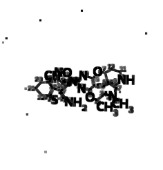 C[C@H](Oc1cc(OC2CCNCC2)nc(-c2cc([C@@]3(C)CCCc4sc(N)c(C#N)c43)no2)n1)[C@@H]1CCCN1C